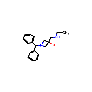 CCNCC1(O)CN(C(c2ccccc2)c2ccccc2)C1